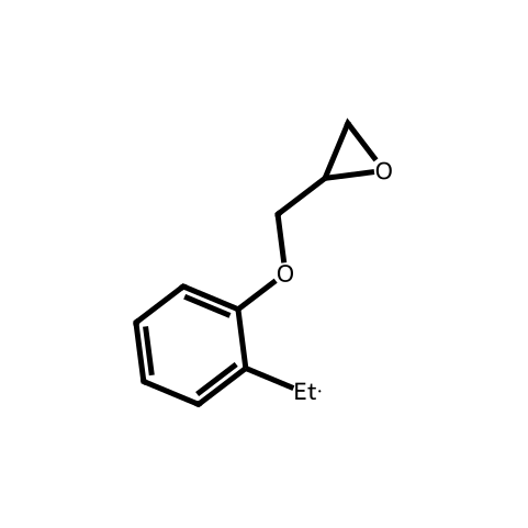 C[CH]c1ccccc1OCC1CO1